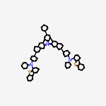 c1ccc(-c2cc3c4cc5ccc(-c6ccc(N(c7ccccc7)c7cccc8c7sc7ccccc78)cc6)cc5cc4n4c5cc6cc(-c7ccc(N(c8ccccc8)c8cccc9c8sc8ccccc89)cc7)ccc6cc5c(c2)c34)cc1